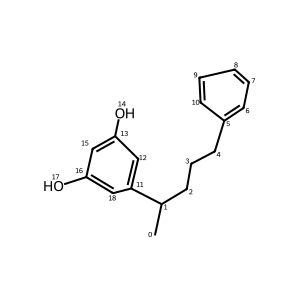 CC(CCCc1ccccc1)c1cc(O)cc(O)c1